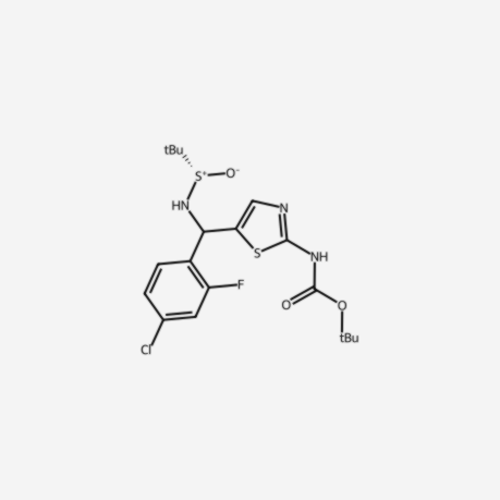 CC(C)(C)OC(=O)Nc1ncc(C(N[S@@+]([O-])C(C)(C)C)c2ccc(Cl)cc2F)s1